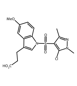 COc1ccc2c(c1)c(CCC(=O)O)cn2S(=O)(=O)c1c(C)nn(C)c1Cl